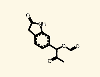 CC(=O)C(OC=O)c1ccc2c(c1)NC(=O)C2